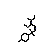 COC(/C=C\C(C)(C)C1CCC(C)CC1)=C(\F)CF